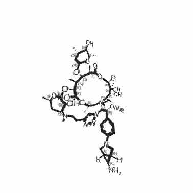 CC[C@H]1OC(=O)[C@H](C)[C@@H](O[C@H]2C[C@H](C)[C@@H](O)[C@H](C)O2)[C@H](C)[C@@H](O[C@@H]2O[C@H](C)C[C@H](N(C)CCc3cn([C@H](CF)[C@H](OC)c4ccc(N5C[C@@H]6[C@@H](N)[C@@H]6C5)cc4)nn3)[C@H]2O)[C@](C)(O)C[C@@H](C)CN(C)[C@H](C)[C@@H](O)[C@]1(C)O